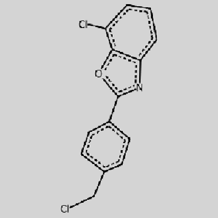 ClCc1ccc(-c2nc3cccc(Cl)c3o2)cc1